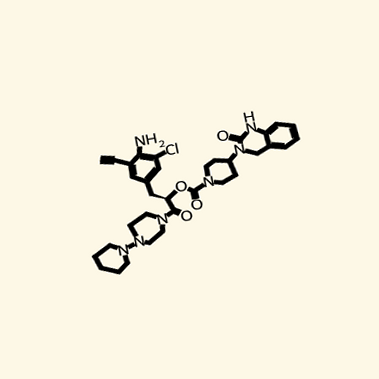 C#Cc1cc(C[C@@H](OC(=O)N2CCC(N3Cc4ccccc4NC3=O)CC2)C(=O)N2CCN(N3CCCCC3)CC2)cc(Cl)c1N